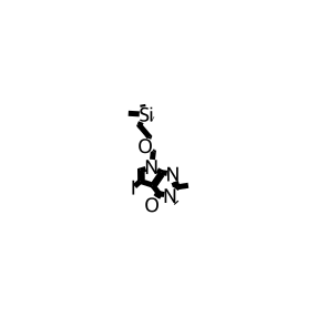 Cc1nc2c(c(I)cn2COCC[Si](C)(C)C)c(=O)n1C